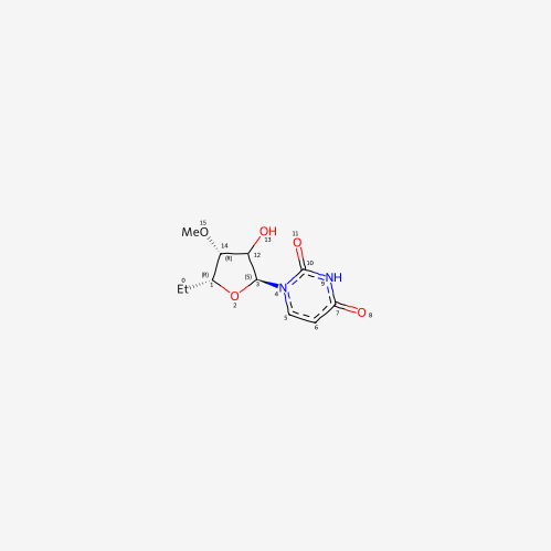 CC[C@H]1O[C@H](n2ccc(=O)[nH]c2=O)C(O)[C@H]1OC